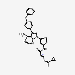 CN(C/C=C/C(=O)Nc1cccc(-n2nc(-c3ccc(Oc4ccccc4)cc3)c3c(N)ncnc32)c1)C1CC1